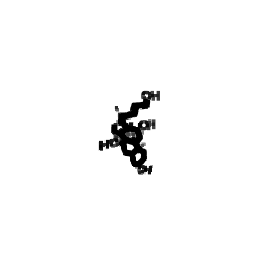 C[C@H](CCCO)[C@H]1CC[C@H]2C3[C@H](O)CC4C[C@H](O)CC[C@]4(C)[C@H]3C[C@H](O)[C@]12C